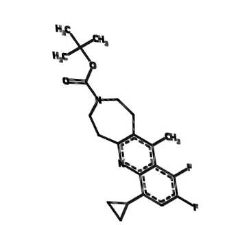 Cc1c2c(nc3c(C4CC4)cc(F)c(F)c13)CCN(C(=O)OC(C)(C)C)CC2